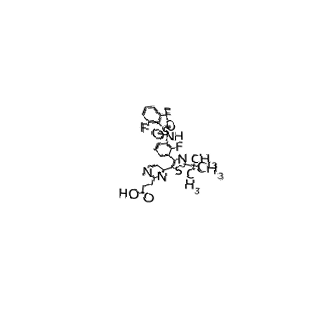 CC(C)(C)c1nc(-c2cccc(NS(=O)(=O)c3c(F)cccc3F)c2F)c(-c2ccnc(CCC(=O)O)n2)s1